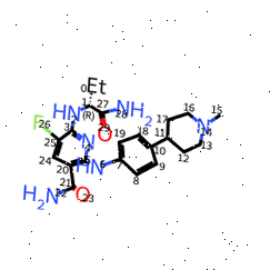 CC[C@@H](Nc1nc(Nc2ccc(C3CCN(C)CC3)cc2)c(C(N)=O)cc1F)C(N)=O